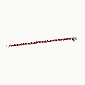 COCCOCCOCCOCCOCCOCCOCCOCCOCCOCCOCCOCCOCCOCCOCCOCCOCCOCCOCCOCCOCCOCCOC(C)CC(=O)O